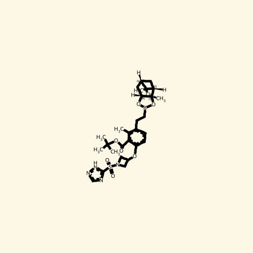 Cc1c(CCB2O[C@@H]3C[C@@H]4C[C@@H](C4(C)C)[C@]3(C)O2)ccc(OC2CN(S(=O)(=O)c3ncn[nH]3)C2)c1C(=O)OC(C)(C)C